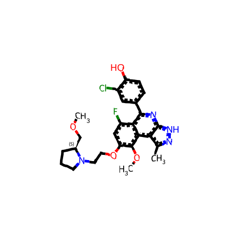 COC[C@@H]1CCCN1CCOc1cc(F)c2c(-c3ccc(O)c(Cl)c3)nc3[nH]nc(C)c3c2c1OC